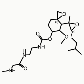 CNCC(=O)NCCNC(=O)OC1CC[C@]2(CO2)C(C2(C)O[C@@H]2CCC(C)C)C1OC